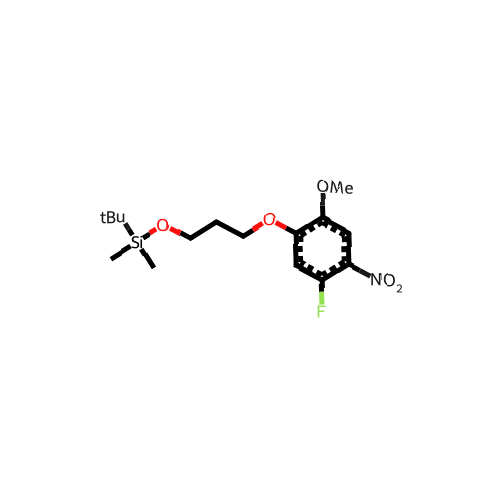 COc1cc([N+](=O)[O-])c(F)cc1OCCCO[Si](C)(C)C(C)(C)C